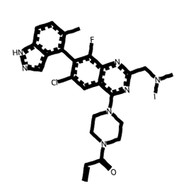 C=CC(=O)N1CCN(c2nc(CN(C)I)nc3c(F)c(-c4c(C)ccc5[nH]ncc45)c(Cl)cc23)CC1